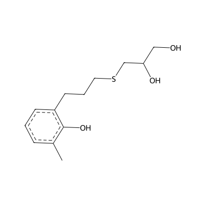 Cc1cccc(CCCSCC(O)CO)c1O